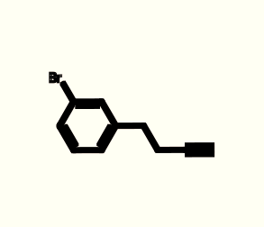 C#CCCc1cccc(Br)c1